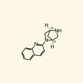 c1ccc2nc(N3C[C@@H]4C[C@H]3CN4)ccc2c1